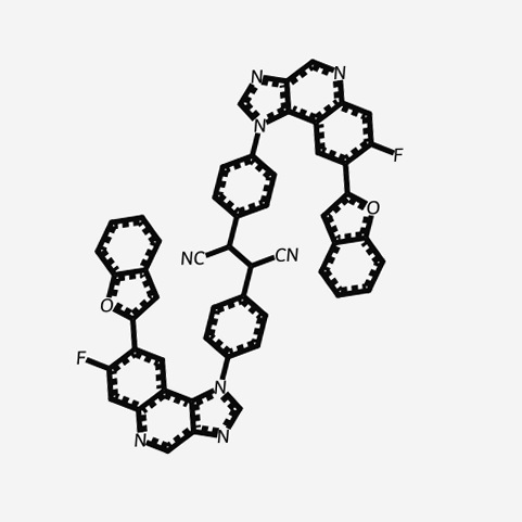 N#CC(c1ccc(-n2cnc3cnc4cc(F)c(-c5cc6ccccc6o5)cc4c32)cc1)C(C#N)c1ccc(-n2cnc3cnc4cc(F)c(-c5cc6ccccc6o5)cc4c32)cc1